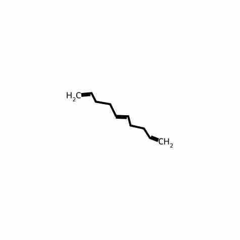 C=CCCC=CCCC=C